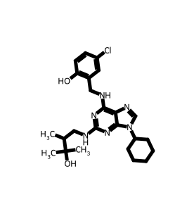 CC(CNc1nc(NCc2cc(Cl)ccc2O)c2ncn(C3CCCCC3)c2n1)C(C)(C)O